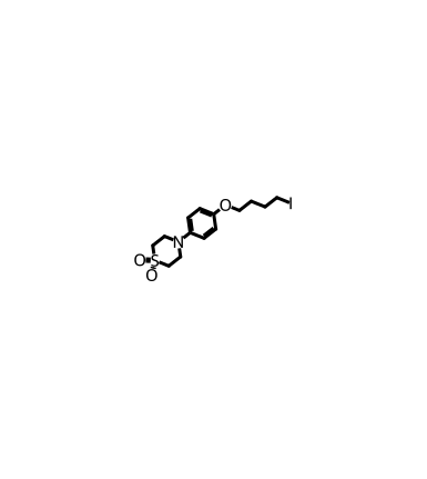 O=S1(=O)CCN(c2ccc(OCCCCI)cc2)CC1